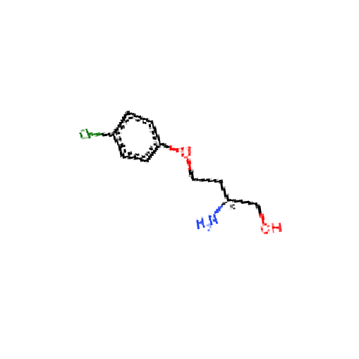 N[C@H](CO)CCOc1ccc(Cl)cc1